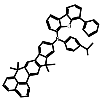 CC(C)c1ccc(N(c2ccc3c(c2)C(C)(C)c2cc4c(cc2-3)C(C)(C)c2cccc3cccc-4c23)c2cccc3c2oc2c(-c4ccccc4)cccc23)cc1